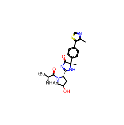 CC(=O)N[C@H](C(=O)N1C[C@H](O)C[C@H]1C1=NC(=O)[C@](C)(c2ccc(-c3scnc3C)cc2)N1)C(C)(C)C